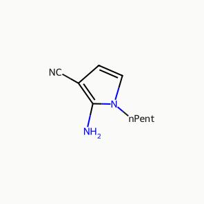 CCCCCn1ccc(C#N)c1N